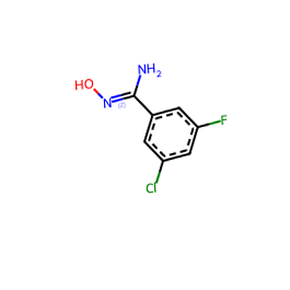 N/C(=N\O)c1cc(F)cc(Cl)c1